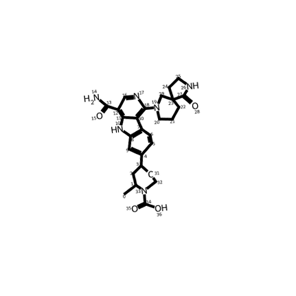 CC1CC(c2ccc3c(c2)[nH]c2c(C(N)=O)cnc(N4CCCC5(CCNC5=O)C4)c23)CCN1C(=O)O